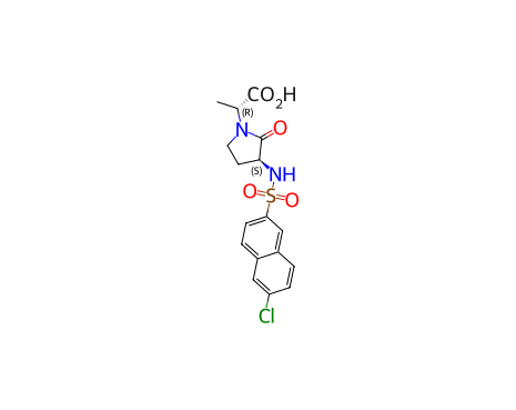 C[C@H](C(=O)O)N1CC[C@H](NS(=O)(=O)c2ccc3cc(Cl)ccc3c2)C1=O